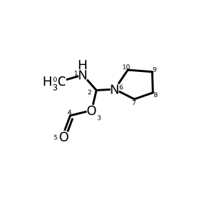 CNC(OC=O)N1CCCC1